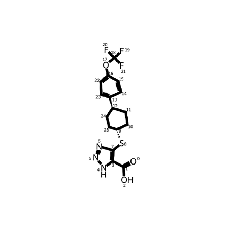 O=C(O)c1[nH]nnc1S[C@H]1CC[C@H](c2ccc(OC(F)(F)F)cc2)CC1